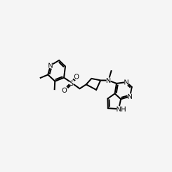 Cc1nccc(S(=O)(=O)CC2CC(N(C)c3ncnc4[nH]ccc34)C2)c1C